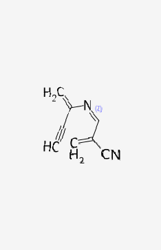 C#CC(=C)/N=C\C(=C)C#N